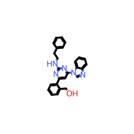 OCc1ccccc1-c1cc(-n2cnc3ccccc32)nc(NCCc2ccccc2)n1